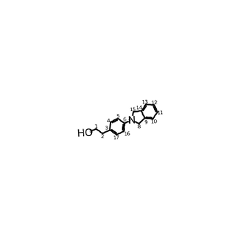 OCCc1ccc(N2Cc3ccccc3C2)cc1